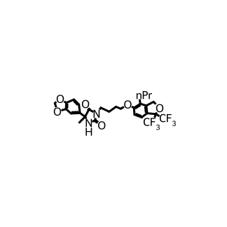 CCCc1c(OCCCCN2C(=O)NC(C)(c3ccc4c(c3)OCO4)C2=O)ccc2c1COC2(C(F)(F)F)C(F)(F)F